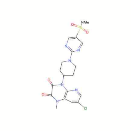 CNS(=O)(=O)c1cnc(N2CCC(n3c(=O)c(=O)n(C)c4cc(Cl)cnc43)CC2)nc1